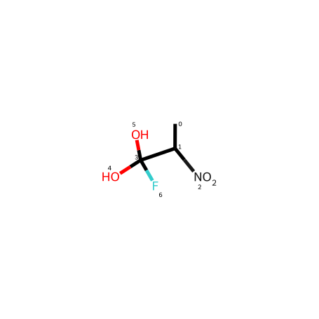 CC([N+](=O)[O-])C(O)(O)F